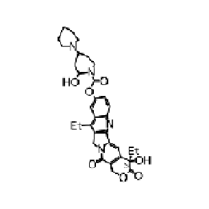 CCc1c2c(nc3ccc(OC(=O)N4CCC(N5CCCCC5)CC4O)cc13)-c1cc3c(c(=O)n1C2)COC(=O)[C@]3(O)CC